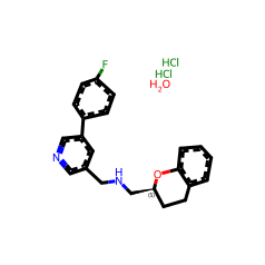 Cl.Cl.Fc1ccc(-c2cncc(CNC[C@@H]3CCc4ccccc4O3)c2)cc1.O